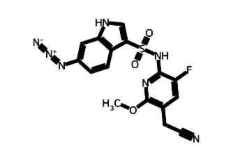 COc1nc(NS(=O)(=O)c2c[nH]c3cc(N=[N+]=[N-])ccc23)c(F)cc1CC#N